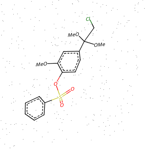 COc1cc(C(CCl)(OC)OC)ccc1OS(=O)(=O)c1ccccc1